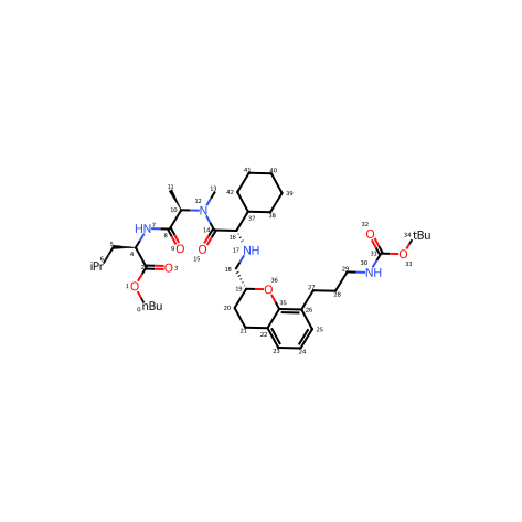 CCCCOC(=O)[C@@H](CC(C)C)NC(=O)[C@@H](C)N(C)C(=O)[C@@H](NC[C@H]1CCc2cccc(CCCNC(=O)OC(C)(C)C)c2O1)C1CCCCC1